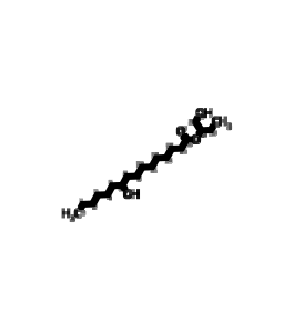 CCCCCCC(O)CCCCCCCCC(=O)OC(CC)CO